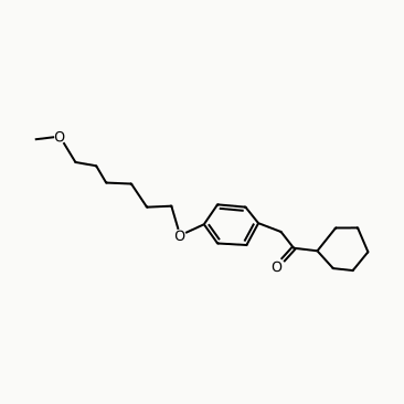 COCCCCCCOc1ccc(CC(=O)C2CCCCC2)cc1